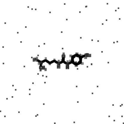 CC(C)N(C)CCCNC(=O)Nc1ccc(C(C)(C)C)cc1